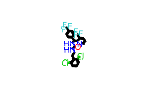 O=C(NCCc1c(Cl)cccc1Cl)NC(c1ccc(C(F)(F)F)cc1)c1ncccc1C(F)(F)F